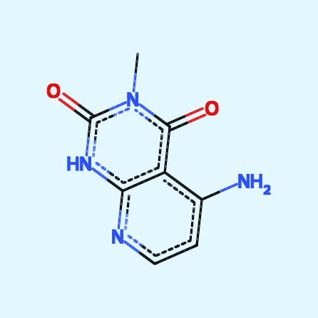 Cn1c(=O)[nH]c2nccc(N)c2c1=O